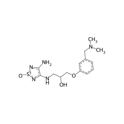 CN(C)Cc1cccc(OCC(O)CNc2n[s+]([O-])nc2N)c1